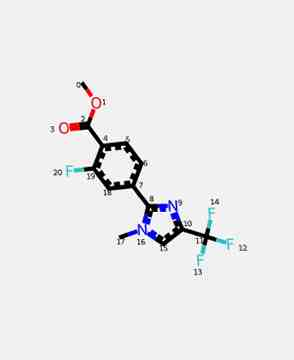 COC(=O)c1ccc(-c2nc(C(F)(F)F)cn2C)cc1F